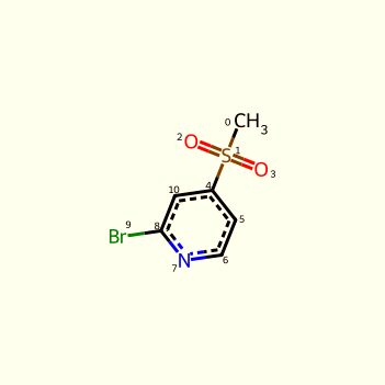 CS(=O)(=O)c1ccnc(Br)c1